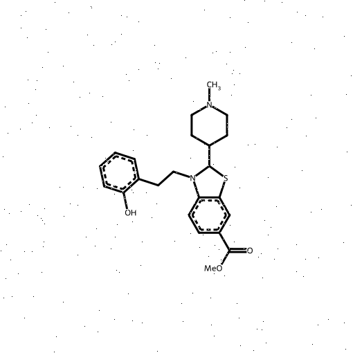 COC(=O)c1ccc2c(c1)SC(C1CCN(C)CC1)N2CCc1ccccc1O